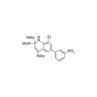 CCc1cc(-c2cccc([N+](=O)[O-])c2)cc2c1NC(NC)(NC)C=C2NC